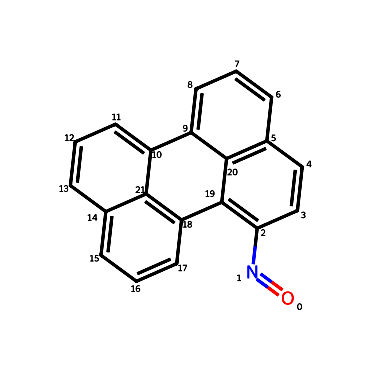 O=Nc1ccc2cccc3c4cccc5cccc(c1c23)c54